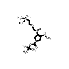 CNC1=C(N(Br)COCC[Si](C)(C)C)CN(C(=O)OC(C)(C)C)C1